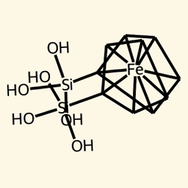 O[Si](O)(O)[C]12[CH]3[CH]4[CH]5[CH]1[Fe]45321678[CH]2[CH]1[CH]6[C]7([Si](O)(O)O)[CH]28